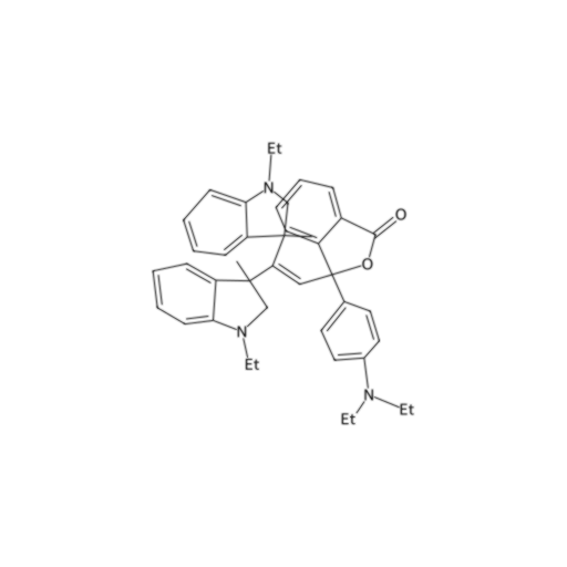 CCN(CC)c1ccc(C2(C=C(C3(C)CN(CC)c4ccccc43)C3(C)CN(CC)c4ccccc43)OC(=O)c3ccccc32)cc1